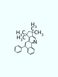 CC1(C)CC(C)(C)c2c1cnc1c2cc(-c2ccccc2)c2ccccc21